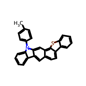 Cc1ccc(-n2c3ccccc3c3cc4ccc5c6ccccc6sc5c4cc32)cc1